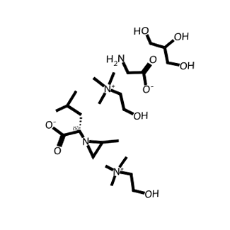 CC(C)C[C@@H](C(=O)[O-])N1CC1C.C[N+](C)(C)CCO.C[N+](C)(C)CCO.NCC(=O)[O-].OCC(O)CO